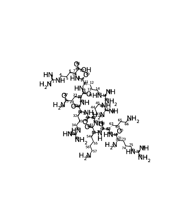 N=C(N)NCCC[C@H](NC(=O)[C@H](CCCNC(=N)N)NC(=O)[C@H](CCC(N)=O)NC(=O)[C@H](CCCNC(=N)N)NC(=O)[C@H](CCCNC(=N)N)NC(=O)[C@H](CCCCN)NC(=O)[C@H](CCCCN)NC(=O)[C@@H](N)CCCNC(=N)N)C(=O)O